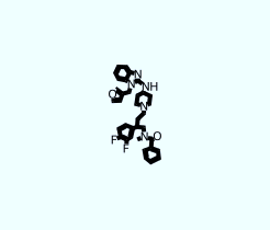 CN(CC(CCN1CCC(Nc2nc3ccccc3n2Cc2ccoc2)CC1)c1ccc(F)c(F)c1)C(=O)c1ccccc1